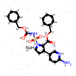 Nc1ccc(-c2ccn(S(=O)(=O)NC(=O)OCc3ccccc3)c2C(=O)OCc2ccccc2)cn1.[NaH]